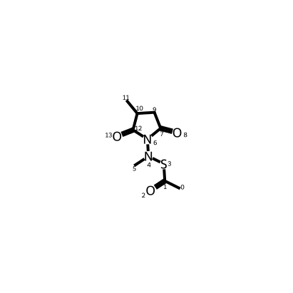 CC(=O)SN(C)N1C(=O)CC(C)C1=O